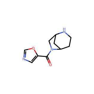 O=C(c1cnco1)N1CC2CC1CCN2